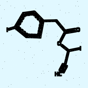 C#CC(I)OC(=O)Cc1ccc(I)cc1